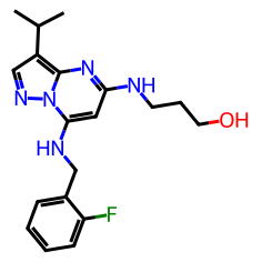 CC(C)c1cnn2c(NCc3ccccc3F)cc(NCCCO)nc12